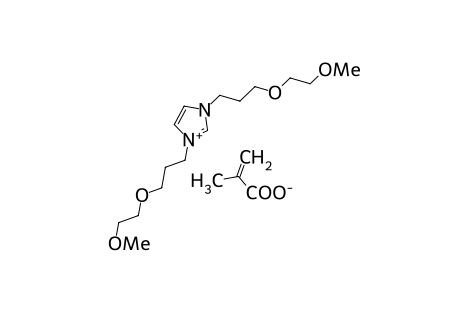 C=C(C)C(=O)[O-].COCCOCCCn1cc[n+](CCCOCCOC)c1